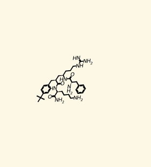 CC(C)(C)c1ccc(C[C@@H](C[C@@H](CCCNC(=N)N)NC(=O)[C@@H](N)Cc2ccccc2)C(=O)N[C@@H](CCCCN)C(N)=O)cc1